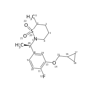 CC1CCCN([C@H](C)c2ccc(F)c(OCC3CC3)c2)S1(=O)=O